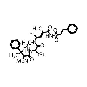 CNC(C(=O)NC(C(=O)N(C)C(C=C(C)C(=O)NS(=O)(=O)CCc1ccccc1)C(C)C)C(C)(C)C)C(C)(C)c1ccccc1